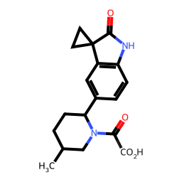 CC1CCC(c2ccc3c(c2)C2(CC2)C(=O)N3)N(C(=O)C(=O)O)C1